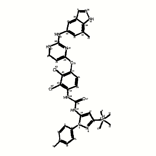 Cc1ccc(-n2nc([SH](C)(C)(C)C)cc2NC(=O)Nc2ccc(OC3=CCNC(Nc4cc(C)c5[nH]ncc5c4)=N3)c(Cl)c2Cl)cc1